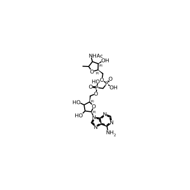 CC(=O)NC1C(C)O[C@H](COP(=O)(O)CP(=O)(O)OC[C@H]2O[C@@H](n3cnc4c(N)ncnc43)C(O)C2O)[C@@H]1O